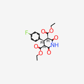 CCOC(=O)[C@H]1C(=O)NC(=O)[C@@H](C(=O)OCC)[C@H]1c1ccc(F)cc1